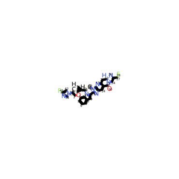 C[C@@H](COc1cccc2cc(-c3nc4cc5c(nc4n3C)CCN(C[C@H](N)CF)C5=O)n(CC3CC3)c12)n1cnc(F)c1